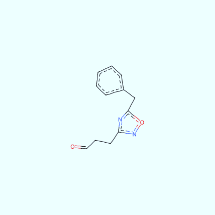 O=CCCc1noc(Cc2ccccc2)n1